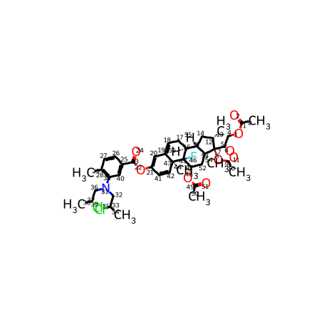 CC(=O)OCC(=O)[C@@]1(OC(C)=O)[C@@H](C)C[C@H]2[C@@H]3CC=C4C=C(OC(=O)c5ccc(C)c(N(CC(C)Cl)CC(C)Cl)c5)C=C[C@]4(C)[C@@]3(F)[C@@H](OC(C)=O)C[C@@]21C